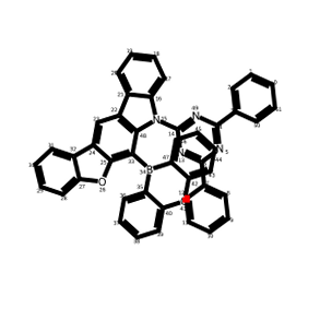 c1ccc(-c2nc(-c3ccccc3)nc(-n3c4ccccc4c4cc5c(oc6ccccc65)c(B5c6ccccc6Oc6ccccc65)c43)n2)cc1